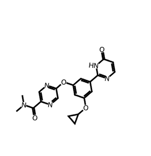 CN(C)C(=O)c1cnc(Oc2cc(OC3CC3)cc(-c3nccc(=O)[nH]3)c2)cn1